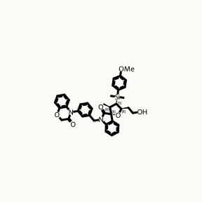 COc1ccc([Si](C)(C)[C@@H]2[C@@H](CCO)O[C@]3(C(=O)N(Cc4cccc(N5C(=O)COc6ccccc65)c4)c4ccccc43)[C@H]2C)cc1